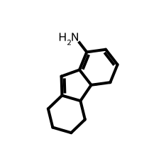 NC1=C2C=C3CCCCC3C2CC=C1